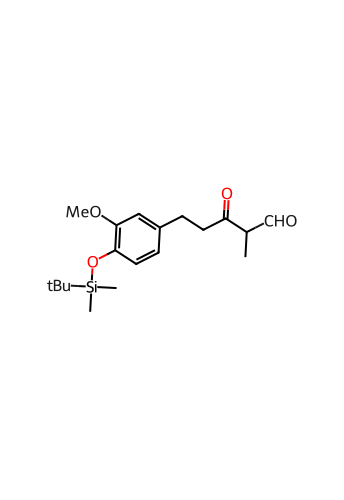 COc1cc(CCC(=O)C(C)C=O)ccc1O[Si](C)(C)C(C)(C)C